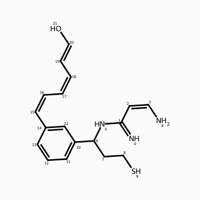 N=C(/C=C\N)NC(CCS)c1cccc(\C=C/C=C\C=C\O)c1